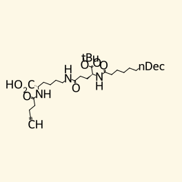 C#CCCC(=O)N[C@@H](CCCCNC(=O)CC[C@H](NC(=O)CCCCCCCCCCCCCCC)C(=O)OC(C)(C)C)C(=O)O